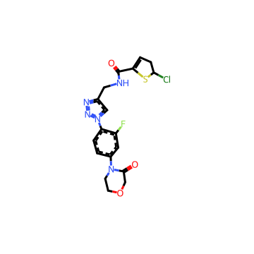 O=C(NCc1cn(-c2ccc(N3CCOCC3=O)cc2F)nn1)C1=CCC(Cl)S1